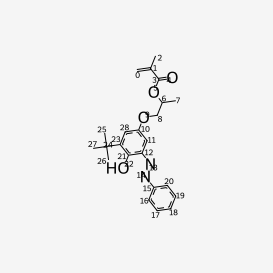 C=C(C)C(=O)OC(C)COc1cc(N=Nc2ccccc2)c(O)c(C(C)(C)C)c1